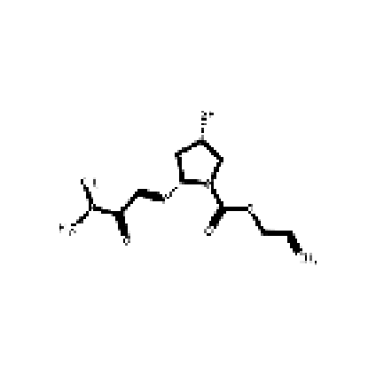 C=CCOC(=O)N1C[C@@H](S)C[C@H]1/C=C/C(=O)N(C)C